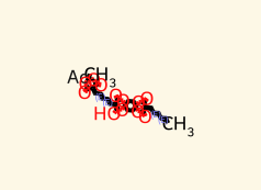 C/C=C/C=C/C=C1C(=O)OC2(CCC3(CC2)OC(=O)C(/C=C/C=C/C=C2C(=O)OC(C)(C(C)=O)OC2=O)=C(O)O3)OC1=O